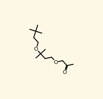 CC(=O)COCCC(C)(C)OCCC(C)(C)C